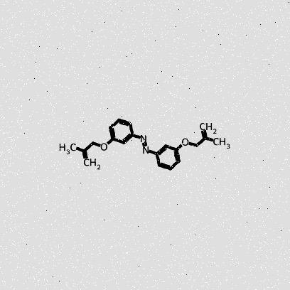 C=C(C)COc1cccc(/N=N/c2cccc(OCC(=C)C)c2)c1